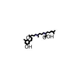 CC(C)=CCC/C(=C/CC/C(C)=C/CCC1(C)C=Cc2cc(O)cc(C)c2O1)C(=O)O